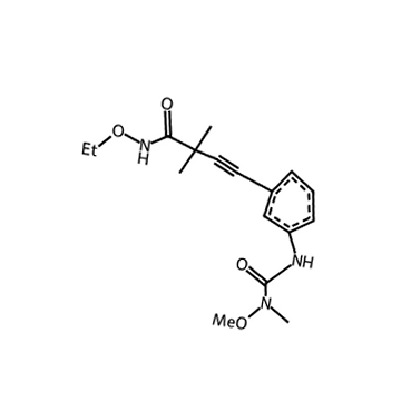 CCONC(=O)C(C)(C)C#Cc1cccc(NC(=O)N(C)OC)c1